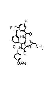 COc1ccc(CN2C(=O)c3nc(CN)cc(NC(=O)c4cc(F)cc(C(F)(F)F)c4)c3C2c2cc(F)ccc2Cl)cc1